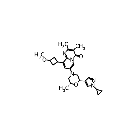 COC1CC(c2cc(N3C[C@@H](C)O[C@@H](c4cnn(C5CC5)c4)C3)cn3c(=O)c(C)c(C)nc23)C1